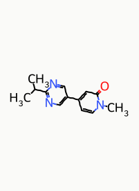 CC(C)c1ncc(-c2ccn(C)c(=O)c2)cn1